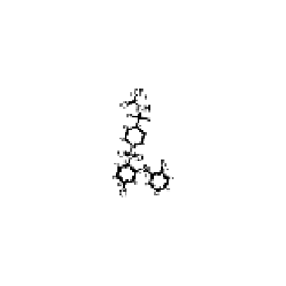 CC(C)(NC(=O)C(F)(F)F)C1CCN(S(=O)(=O)c2ccc(Cl)cc2Sc2ccccc2F)CC1